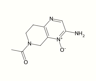 CC(=O)N1CCc2ncc(N)[n+]([O-])c2C1